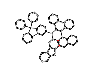 c1ccc(C2(c3ccccc3)c3ccccc3-c3cc(N(c4ccc5sc6ccccc6c5c4)c4c(-c5cccc6ccccc56)c5ccccc5c5ccccc45)ccc32)cc1